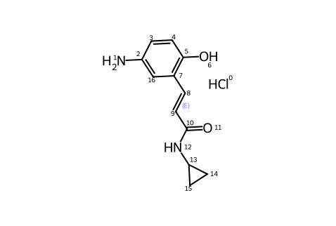 Cl.Nc1ccc(O)c(/C=C/C(=O)NC2CC2)c1